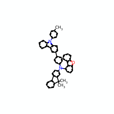 Cc1ccc(-n2c3ccccc3c3cc(-c4ccc(N(c5ccc6c(c5)C(C)(C)c5ccccc5-6)c5cccc6oc7ccccc7c56)cc4)ccc32)cc1